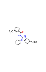 O=Cc1ccc2c(c1)nc(NC(=O)c1cccc(C(F)(F)F)c1)n2-c1ccccc1